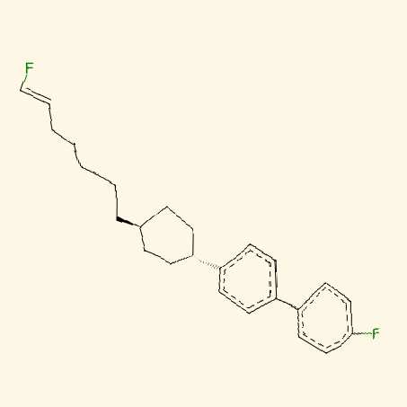 FC=CCCCCC[C@H]1CC[C@H](c2ccc(-c3ccc(F)cc3)cc2)CC1